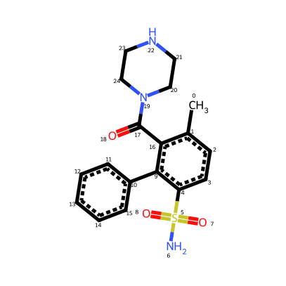 Cc1ccc(S(N)(=O)=O)c(-c2ccccc2)c1C(=O)N1CCNCC1